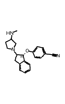 CNC1CCN(C2Cc3ccccc3[C@H]2Oc2ccc(C#N)cc2)C1